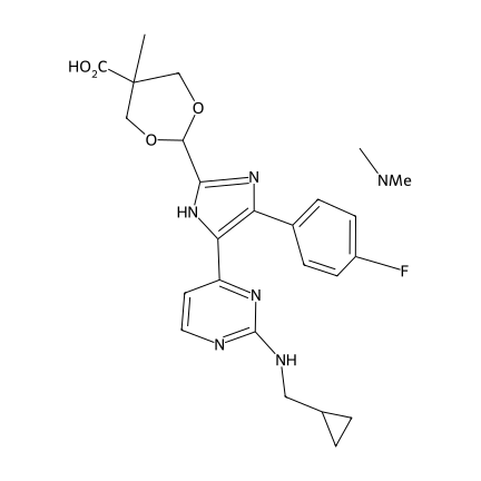 CC1(C(=O)O)COC(c2nc(-c3ccc(F)cc3)c(-c3ccnc(NCC4CC4)n3)[nH]2)OC1.CNC